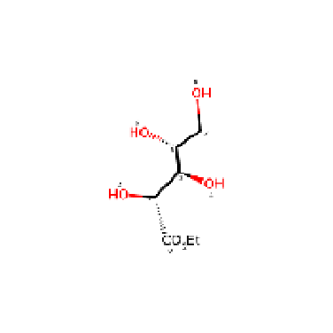 CCOC(=O)[C@H](O)[C@H](O)[C@H](O)CO